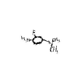 CN(C)c1ccc(N)c(F)c1